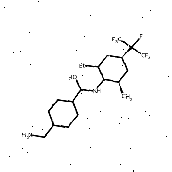 CCC1C[C@@H](C(F)(C(F)(F)F)C(F)(F)F)C[C@@H](C)C1NC(O)C1CCC(CN)CC1